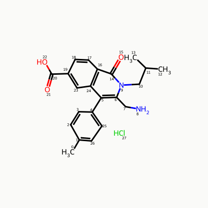 Cc1ccc(-c2c(CN)n(CC(C)C)c(=O)c3ccc(C(=O)O)cc23)cc1.Cl